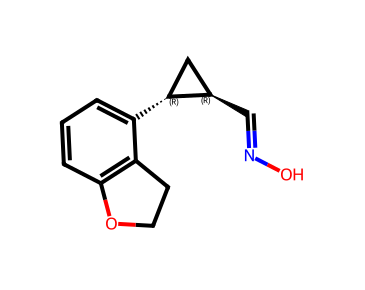 ON=C[C@@H]1C[C@H]1c1cccc2c1CCO2